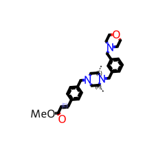 COC(=O)/C=C/c1ccc(CN2C[C@@H](C)N(Cc3cccc(CN4CCOCC4)c3)[C@@H](C)C2)cc1